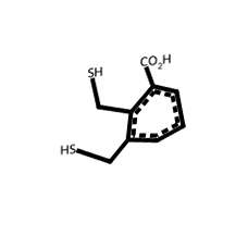 O=C(O)c1cccc(CS)c1CS